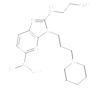 CCCCN(CCCC)c1ccc2nc(NCCNC(C)=O)n(CCCN3CCCCC3)c2n1